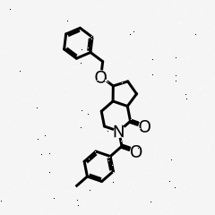 Cc1ccc(C(=O)N2CCC3C(OCc4ccccc4)CCC3C2=O)cc1